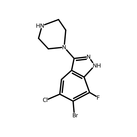 Fc1c(Br)c(Cl)cc2c(N3CCNCC3)n[nH]c12